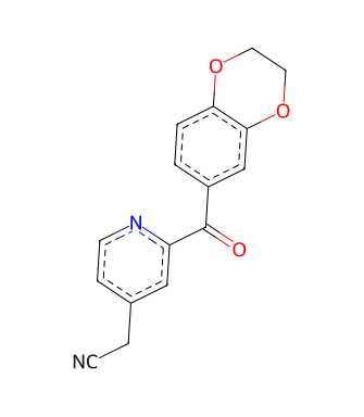 N#CCc1ccnc(C(=O)c2ccc3c(c2)OCCO3)c1